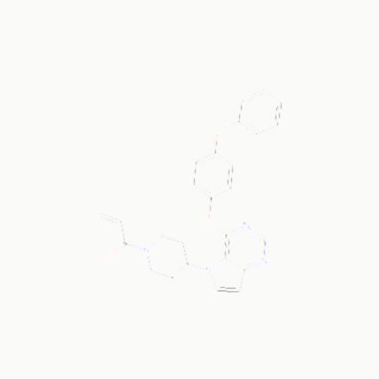 C=CC(=O)N1CCC(n2ccc3ncnc(Oc4ccc(Oc5ccccc5)cc4)c32)CC1